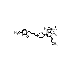 CCCc1cc(N2CCN(CCCCn3ccc(C)nc3=O)CC2)nc(C(C)(C)C)n1